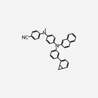 CN(c1ccc(C#N)cc1)c1ccc(N(c2cccc(C3=CC=CC4CC34)c2)c2ccc3ccccc3c2)cc1